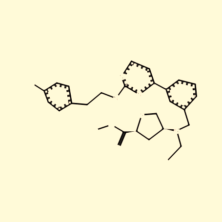 CCN(Cc1cccc(-c2ccnc(NCCc3ccc(O)cc3)n2)c1)[C@@H]1CN[C@H](C(=O)OC)C1